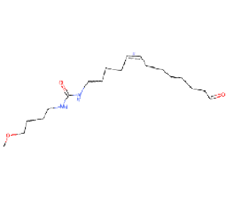 COCCCCNC(=O)NCCCC/C=C\CCCCCCC=O